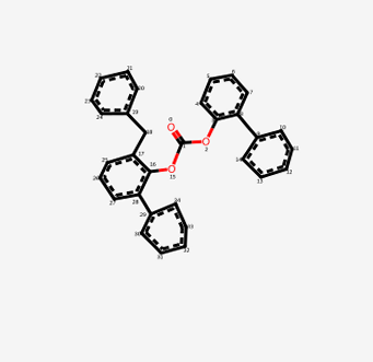 O=C(Oc1ccccc1-c1ccccc1)Oc1c(Cc2ccccc2)cccc1-c1ccccc1